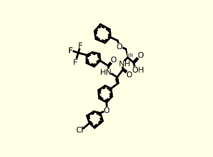 O=C(N[C@@H](COCc1ccccc1)C(=O)O)C(=Cc1cccc(Oc2ccc(Cl)cc2)c1)NC(=O)c1ccc(C(F)(F)F)cc1